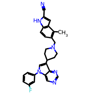 Cc1c(CN2CCC(c3cn(-c4cccc(F)c4)c4cncnc34)CC2)ccc2[nH]c(C#N)cc12